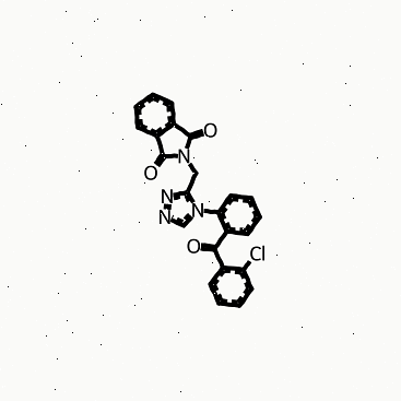 O=C(c1ccccc1Cl)c1ccccc1-n1cnnc1CN1C(=O)c2ccccc2C1=O